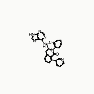 C[C@@H](Nc1ncnc2[nH]cnc12)c1cc2cccc(-c3cccnc3)c2c(=O)n1-c1ccccc1